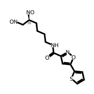 O=NC[C@H](CCCCNC(=O)c1cc(-c2cccs2)on1)N=O